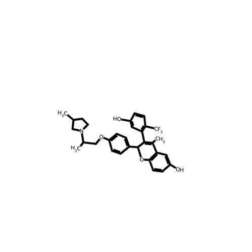 CC1=C(c2cc(O)ccc2C(F)(F)F)C(c2ccc(OCC(C)N3CCC(C)C3)cc2)Oc2ccc(O)cc21